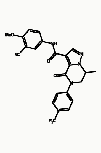 COc1ccc(NC(=O)c2cnn3c2C(=O)N(c2ccc(C(F)(F)F)cc2)CC3C)cc1C#N